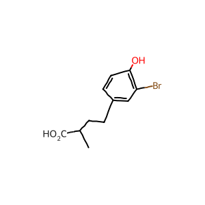 CC(CCc1ccc(O)c(Br)c1)C(=O)O